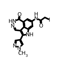 Cn1cc(-c2[nH]c3cc(NC(=O)CI)cc4c3c2C=NNC4=O)cn1